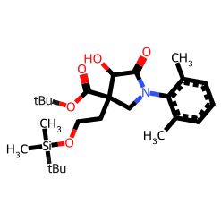 Cc1cccc(C)c1N1CC(CCO[Si](C)(C)C(C)(C)C)(C(=O)OC(C)(C)C)C(O)C1=O